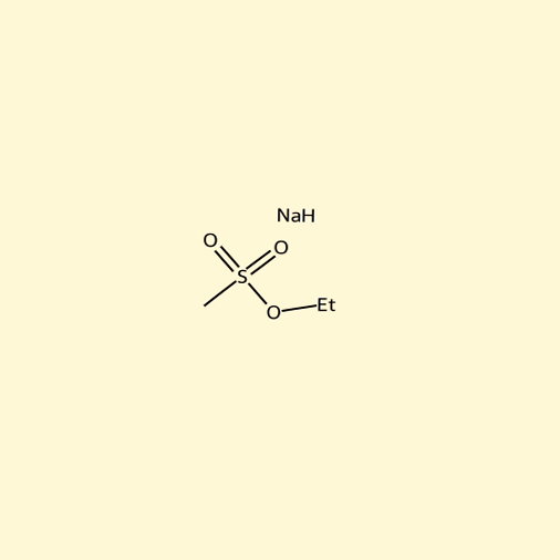 CCOS(C)(=O)=O.[NaH]